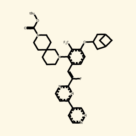 CC(C)(C)OC(=O)N1CCC2(CCCN(c3c(/C=C(\F)c4nccc(-c5ccnnc5)n4)ccc(OC4CC5CC(C5)C4)c3C(F)(F)F)C2)CC1